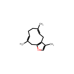 C/C1=C\Cc2c(C)coc2C/C(C)=C/CC1